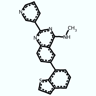 CNc1nc(-c2cccnc2)nc2ccc(-c3cccc4ccsc34)cc12